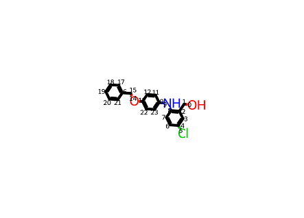 OCc1cc(Cl)ccc1Nc1ccc(OCc2ccccc2)cc1